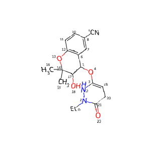 CCN1NC(OC2c3cc(C#N)ccc3OC(C)(C)C2O)=CCC1=O